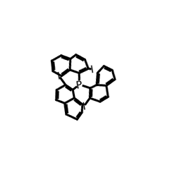 Ic1ccc2ccccc2c1P(c1c(I)ccc2ccccc12)c1c(I)ccc2ccccc12